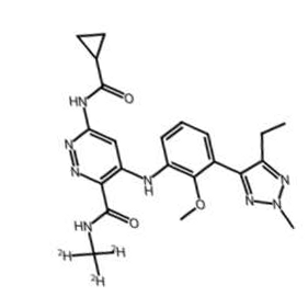 [2H]C([2H])([2H])NC(=O)c1nnc(NC(=O)C2CC2)cc1Nc1cccc(-c2nn(C)nc2CC)c1OC